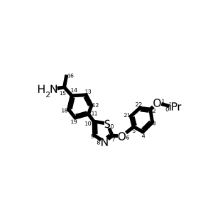 CC(C)Oc1ccc(Oc2ncc(-c3ccc(C(C)N)cc3)s2)cc1